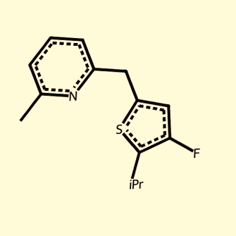 Cc1cccc(Cc2cc(F)c(C(C)C)s2)n1